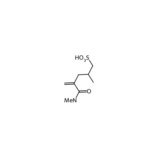 C=C(CC(C)CS(=O)(=O)O)C(=O)NC